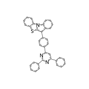 c1ccc(-c2cc(-c3ccc(-c4c5ccccc5n5c4sc4ccccc45)cc3)nc(-c3ccccc3)n2)cc1